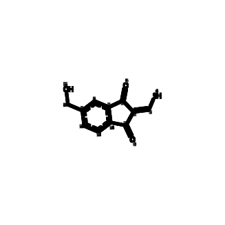 O=C1/C(=C/S)C(=O)c2cc(CO)ccc21